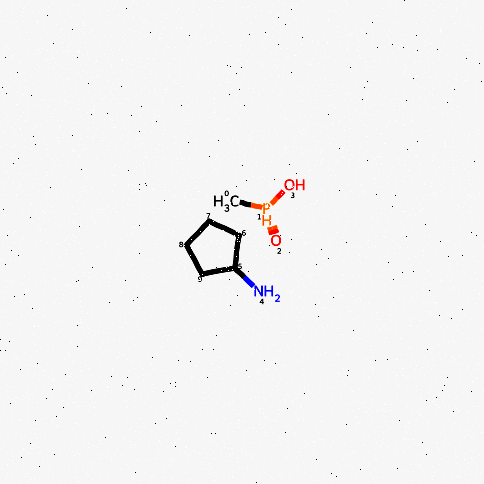 C[PH](=O)O.NC1CCCC1